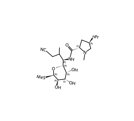 CCC[C@@H]1C[C@@H](C(=O)N[C@H](C(C)CC#N)[C@H]2O[C@H](SC)[C@H](O)[C@@H](O)[C@H]2O)N(C)C1